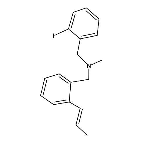 C/C=C/c1ccccc1CN(C)Cc1ccccc1I